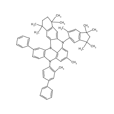 Cc1cc2c3c(c1)N(c1cc4c(cc1C)C(C)(C)CC4(C)C)c1cc4c(cc1B3c1cc(-c3ccccc3)ccc1N2c1ccc(-c2ccccc2)cc1C)C(C)(C)CCC4(C)C